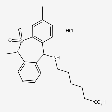 CN1c2ccccc2C(NCCCCCC(=O)O)c2ccc(I)cc2S1(=O)=O.Cl